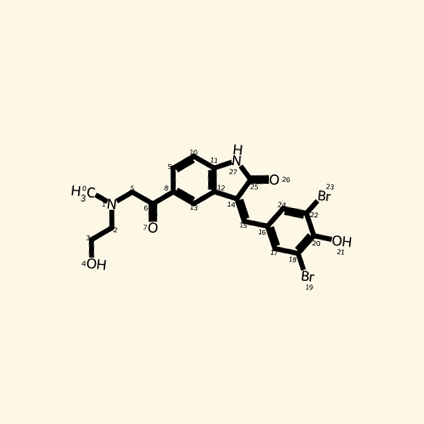 CN(CCO)CC(=O)c1ccc2c(c1)C(=Cc1cc(Br)c(O)c(Br)c1)C(=O)N2